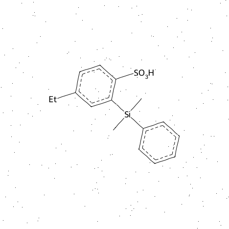 CCc1ccc(S(=O)(=O)O)c([Si](C)(C)c2ccccc2)c1